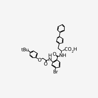 CC(C)(C)c1ccc(OCC(=O)Nc2cc(Br)ccc2C(=O)N[C@@H](Cc2ccc(-c3ccccc3)cc2)C(=O)O)cc1